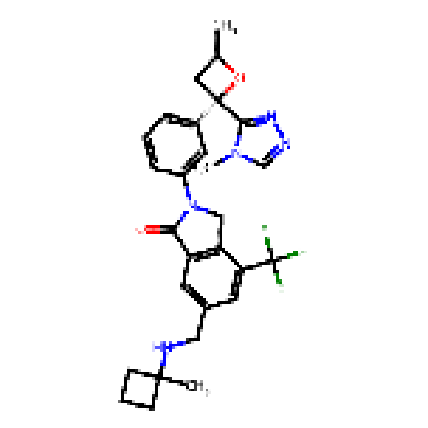 CC1C[C@](c2cccc(N3Cc4c(cc(CNC5(C)CCC5)cc4C(F)(F)F)C3=O)c2)(c2nncn2C)O1